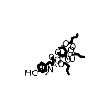 CCCC(=O)O[C@@H]1[C@@H](OC(=O)CCC)[C@H](OC(=O)[C@@](C)(N)Cc2ccc(O)cc2)OC[C@H]1OC(=O)CCC